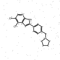 Clc1cnc2[nH]c(-c3ccc(CN4CCCC4)cc3)cc2c1Cl